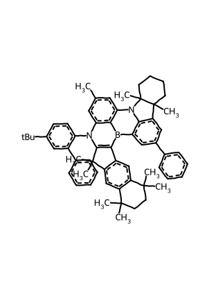 Cc1cc2c3c(c1)N1c4c(cc(-c5ccccc5)cc4C4(C)CCCCC14C)B3C1=C(N2c2ccc(C(C)(C)C)cc2-c2ccccc2)C(C)(C)c2cc3c(cc21)C(C)(C)CCC3(C)C